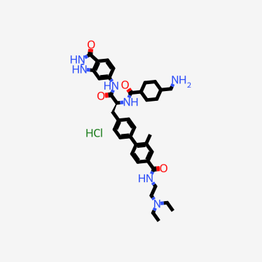 CCN(CC)CCNC(=O)c1ccc(-c2ccc(C[C@H](NC(=O)C3CCC(CN)CC3)C(=O)Nc3ccc4c(=O)[nH][nH]c4c3)cc2)c(C)c1.Cl